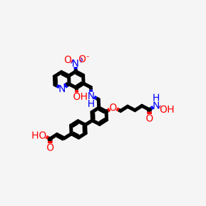 O=C(O)C=Cc1ccc(-c2ccc(OCCCCC(=O)NO)c(CNCc3cc([N+](=O)[O-])c4cccnc4c3O)c2)cc1